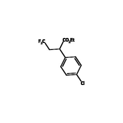 CCOC(=O)C(CC(F)(F)F)c1ccc(Cl)cc1